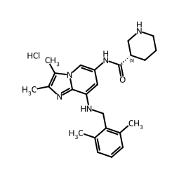 Cc1cccc(C)c1CNc1cc(NC(=O)[C@H]2CCCNC2)cn2c(C)c(C)nc12.Cl